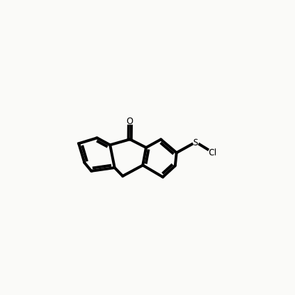 O=C1c2ccccc2Cc2ccc(SCl)cc21